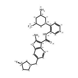 Nc1oc2cc(CN3CC[C@@H](F)C3)cnc2c1C(=O)Nc1cnccc1N1CC(N)CC(C(F)(F)F)C1